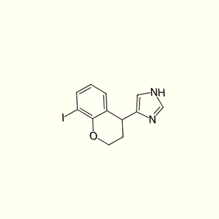 Ic1cccc2c1OCCC2c1c[nH]cn1